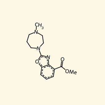 COC(=O)c1cccc2oc(N3CCCN(C)CC3)nc12